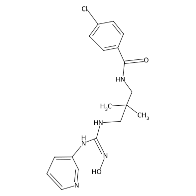 CC(C)(CNC(=O)c1ccc(Cl)cc1)CNC(=NO)Nc1cccnc1